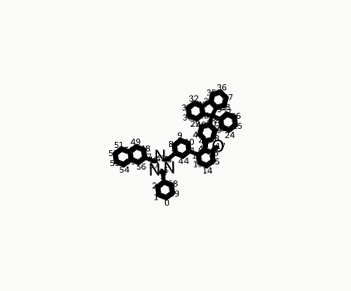 c1ccc(-c2nc(-c3cccc(-c4cccc5oc6cc(C7(c8ccccc8)c8ccccc8-c8ccccc87)ccc6c45)c3)nc(-c3ccc4ccccc4c3)n2)cc1